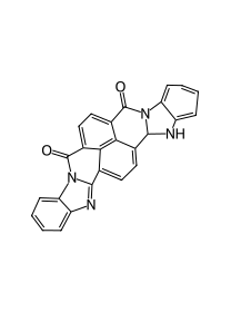 O=C1c2ccc3c(=O)n4c5ccccc5nc4c4ccc(c2c34)C2Nc3ccccc3N12